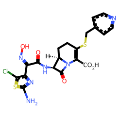 Nc1nc(/C(=N/O)C(=O)N[C@@H]2C(=O)N3C(C(=O)O)=C(SCc4ccncc4)CC[C@H]23)c(Cl)s1